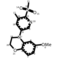 COc1ccc2c(c1)N(c1cnc(S(C)(=O)=O)c(C)c1)CCO2